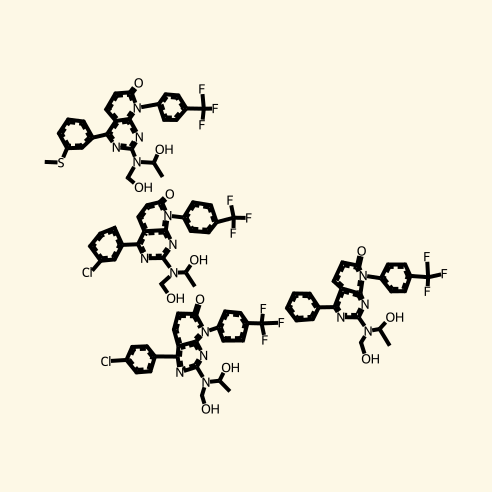 CC(O)N(CO)c1nc(-c2ccc(Cl)cc2)c2ccc(=O)n(-c3ccc(C(F)(F)F)cc3)c2n1.CC(O)N(CO)c1nc(-c2cccc(Cl)c2)c2ccc(=O)n(-c3ccc(C(F)(F)F)cc3)c2n1.CC(O)N(CO)c1nc(-c2ccccc2)c2ccc(=O)n(-c3ccc(C(F)(F)F)cc3)c2n1.CSc1cccc(-c2nc(N(CO)C(C)O)nc3c2ccc(=O)n3-c2ccc(C(F)(F)F)cc2)c1